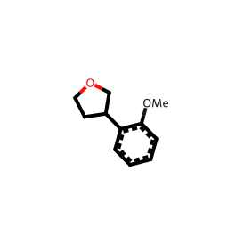 COc1ccccc1C1CCOC1